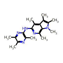 Cc1nc(C)c(Nc2nc(C)c3c(c2C)c(C)c(C)n3C)nc1C